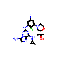 CC(C)(O)[C@@H]1CN(c2cc(N)cc(Nc3nc(NC4CC4)c4ncc(N)n4n3)c2Cl)CCO1